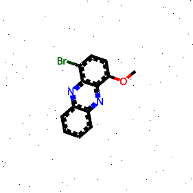 COc1ccc(Br)c2nc3ccccc3nc12